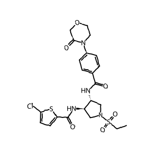 CCS(=O)(=O)N1C[C@@H](NC(=O)c2ccc(N3CCOCC3=O)cc2)[C@H](NC(=O)c2ccc(Cl)s2)C1